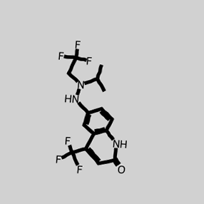 CC(C)N(CC(F)(F)F)Nc1ccc2[nH]c(=O)cc(C(F)(F)F)c2c1